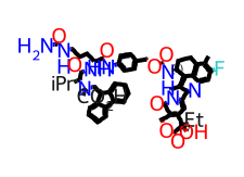 CC[C@@]1(O)C(=O)OCc2c1cc1n(c2=O)Cc2c-1nc1cc(F)c(C)c3c1c2[C@@H](NC(=O)OCc1ccc(NC(=O)C(CCCNC(N)=O)NC(=O)C(C(C)C)N(CC2c4ccccc4-c4ccccc42)C(=O)O)cc1)CC3